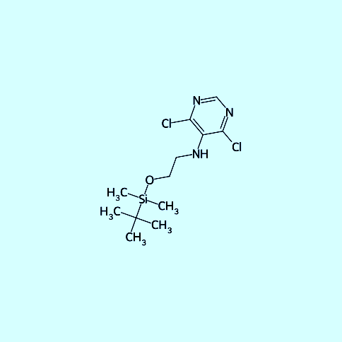 CC(C)(C)[Si](C)(C)OCCNc1c(Cl)ncnc1Cl